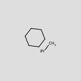 C1CCCCC1.CC(C)C